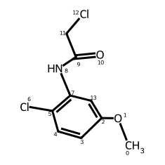 COc1ccc(Cl)c(NC(=O)CCl)c1